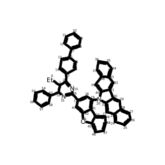 CCC1C(c2ccc(-c3ccccc3)cc2)=NC(c2cc(-n3c4cc5ccccc5cc4c4cc5ccccc5cc43)c3c(c2)oc2ccccc23)=NC1c1ccccc1